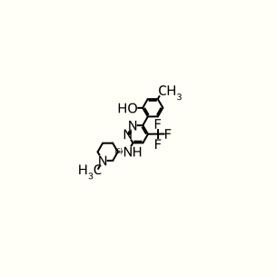 Cc1ccc(-c2nnc(N[C@H]3CCCN(C)C3)cc2C(F)(F)F)c(O)c1